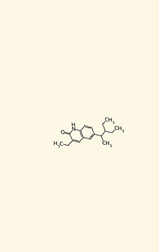 CCc1cc2cc(C(C)C(CC)CC)ccc2[nH]c1=O